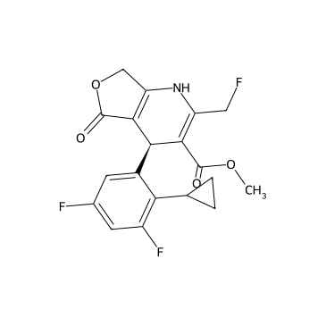 COC(=O)C1=C(CF)NC2=C(C(=O)OC2)[C@@H]1c1cc(F)cc(F)c1C1CC1